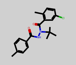 Cc1ccc(C(=O)NN(C(=O)c2cc(Cl)ccc2C)C(C)(C)C)cc1